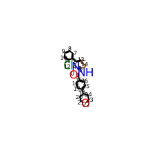 O=C(Nc1nc(-c2ccccc2Cl)cs1)c1ccc(C2CCOCC2)cc1